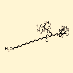 CCCCCCCCCCCCCCCCCC(=O)OCC(CCn1cnc2c(=O)[nH]c(N)nc21)COC(=O)[C@@H](N)[C@@H](C)CC